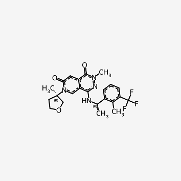 Cc1c([C@@H](C)Nc2nn(C)c(=O)c3cc(=O)n([C@]4(C)CCOC4)cc23)cccc1C(F)(F)F